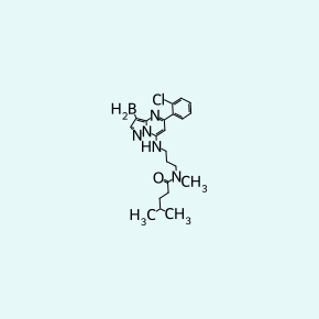 Bc1cnn2c(NCCCN(C)C(=O)CCC(C)C)cc(-c3ccccc3Cl)nc12